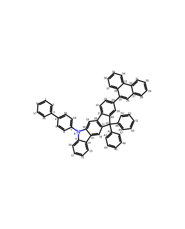 c1ccc(-c2ccc(-n3c4ccccc4c4cc5c(cc43)-c3ccc(-c4cc6ccccc6c6ccccc46)cc3C5(c3ccccc3)c3ccccc3)cc2)cc1